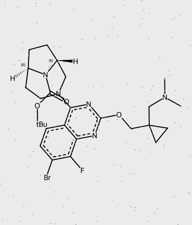 CN(C)CC1(COc2nc(N3CC[C@H]4CC[C@H](C3)N4C(=O)OC(C)(C)C)c3ccc(Br)c(F)c3n2)CC1